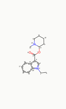 CCn1cc(C(=O)OC2CCCCN2C)c2ccccc21